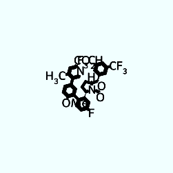 COc1ccc(-c2cnc(C(=O)O)cc2C)cc1-c1ccc(F)cc1[C@@H]1CC[C@H]2[C@@H](c3cc(C(F)(F)F)cc(C(F)(F)F)c3)OC(=O)N12